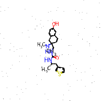 CC(Cc1ccsc1)NC(=O)NCC1(N(C)C)CCc2cc(O)ccc2C1